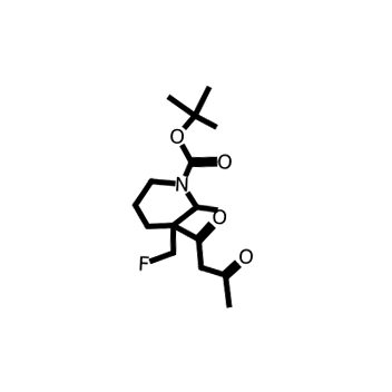 CC(=O)CC(=O)C1(CF)CCCN(C(=O)OC(C)(C)C)C1C